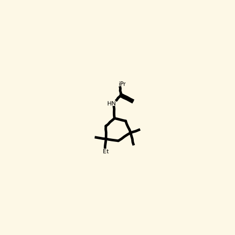 C=C(NC1CC(C)(C)CC(C)(CC)C1)C(C)C